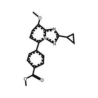 COC(=O)c1ccc(-c2ccc(OC)c3nc(C4CC4)nn23)cc1